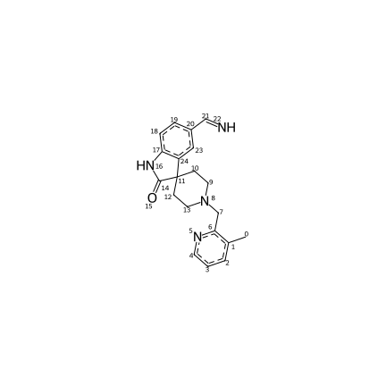 Cc1cccnc1CN1CCC2(CC1)C(=O)Nc1ccc(C=N)cc12